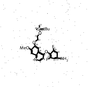 COc1cc2nccc(Oc3c(F)cc(N)cc3F)c2cc1OCCO[Si](C)(C)C(C)(C)C